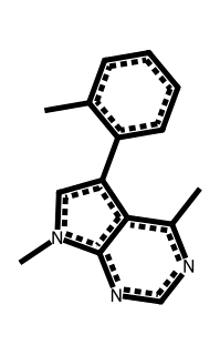 Cc1ccccc1-c1cn(C)c2ncnc(C)c12